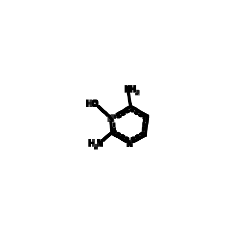 Nc1ccnc(N)[n+]1O